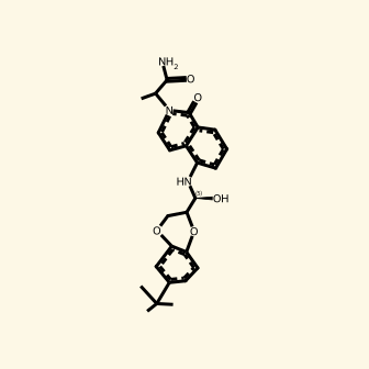 CC(C(N)=O)n1ccc2c(N[C@@H](O)C3COc4cc(C(C)(C)C)ccc4O3)cccc2c1=O